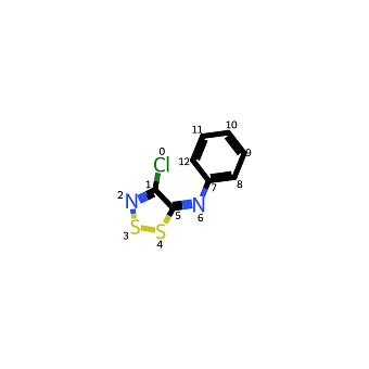 Clc1nssc1=Nc1ccccc1